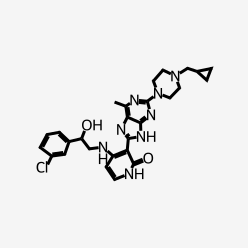 Cc1nc(N2CCN(CC3CC3)CC2)nc2[nH]c(-c3c(NCC(O)c4cccc(Cl)c4)cc[nH]c3=O)nc12